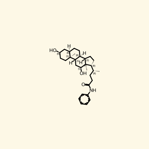 C[C@H](CCC(=O)Nc1ccccc1)[C@H]1CC[C@H]2[C@@H]3CC[C@@H]4C[C@H](O)CC[C@]4(C)[C@H]3C[C@H](O)[C@]12C